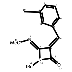 CON=C1C(=Cc2cccc(C)c2)C(=O)N1C(C)(C)C